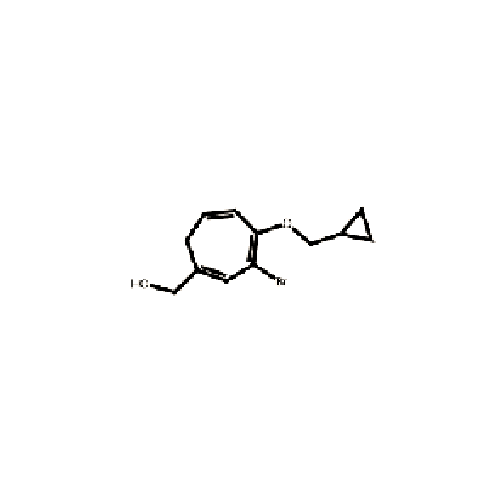 OCC1=CC(Br)=C(OCC2CC2)C=CC1